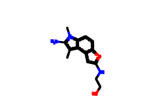 Cc1c(N)n(C)c2ccc3oc(NCCO)cc3c12